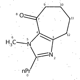 CCCc1nc2c(n1C)C(=O)CCCC2